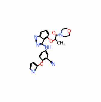 CC(Oc1cccc2ncnc(Nc3ccc(Oc4cccnc4)c(C#N)c3)c12)C(=O)N1CCOCC1